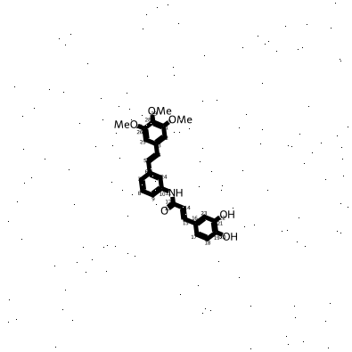 COc1cc(/C=C/c2cccc(NC(=O)/C=C/c3ccc(O)c(O)c3)c2)cc(OC)c1OC